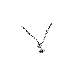 CCCCCCCCSCSCCCCCCCCC1(CCCCCCCCSCSCCCCCCCC)OCC(CCOS(C)(=O)=O)O1